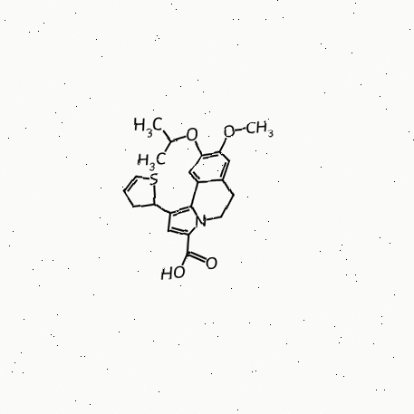 COc1cc2c(cc1OC(C)C)-c1c(C3CC=CS3)cc(C(=O)O)n1CC2